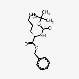 CCCC[C@H](NC(O)OC(C)(C)C)C(=O)OCc1ccccc1